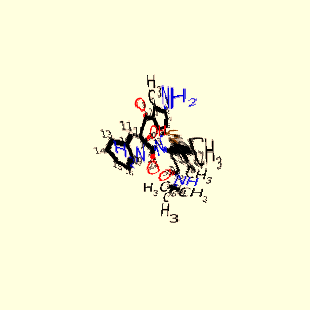 Cc1c(N)cccc1C(=O)[C@@H](Cc1ccccc1)[C@](N)(O)C(=O)N1CSC(C)(C)[C@H]1C(=O)NC(C)(C)C